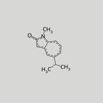 CC(C)c1cccc2n(C)c(=O)cc-2c1